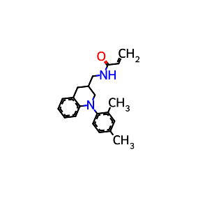 C=CC(=O)NCC1Cc2ccccc2N(c2ccc(C)cc2C)C1